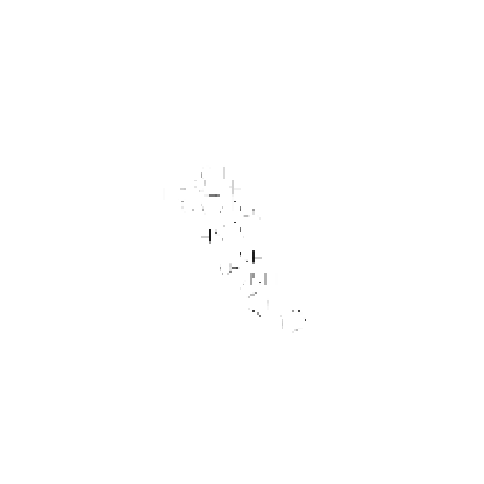 COc1cc2[nH]c(=S)n(CCNC(=O)c3cc4ccc(-c5cccnc5)cc4[nH]3)c(=N)c2cc1OC